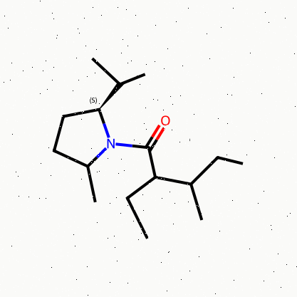 CCC(C)C(CC)C(=O)N1C(C)CC[C@H]1C(C)C